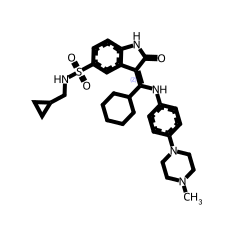 CN1CCN(c2ccc(N/C(=C3\C(=O)Nc4ccc(S(=O)(=O)NCC5CC5)cc43)C3CCCCC3)cc2)CC1